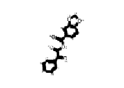 O=C(OC(=O)c1ccc2c(c1)OCO2)C(=O)c1ccccc1